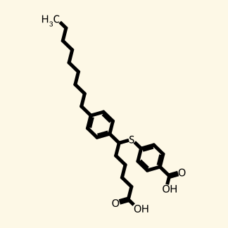 CCCCCCCCCc1ccc(C(CCCCC(=O)O)Sc2ccc(C(=O)O)cc2)cc1